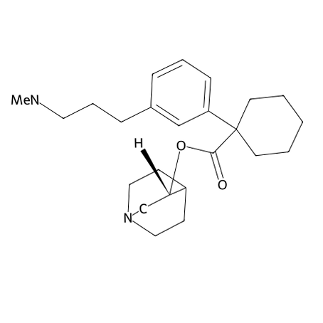 CNCCCc1cccc(C2(C(=O)O[C@H]3CN4CCC3CC4)CCCCC2)c1